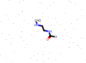 CCC(=O)NCCNC=O